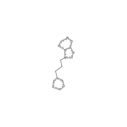 c1ccc(CCCn2cnc3cnccc32)cc1